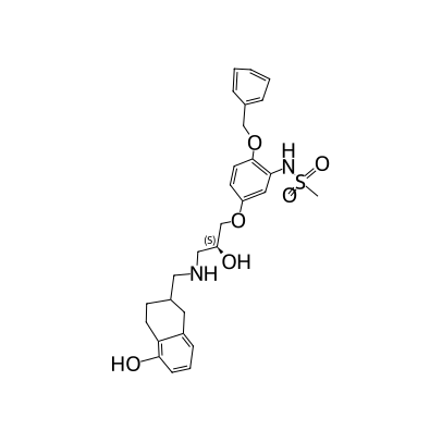 CS(=O)(=O)Nc1cc(OC[C@@H](O)CNCC2CCc3c(O)cccc3C2)ccc1OCc1ccccc1